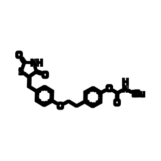 CC(C)(C)NC(=O)Oc1ccc(CCOc2ccc(C=C3SC(=O)NC3=O)cc2)cc1